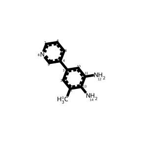 Cc1cc(-c2cccnc2)cc(N)c1N